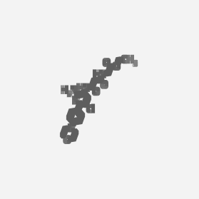 CCOC(=O)CNC(=O)CC(=O)Nc1cc(Cl)c(-c2ccc(N3CCOCC3)cc2)nc1N